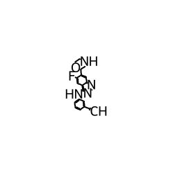 C#Cc1cccc(Nc2ncnc3cc(C4CNCCO4)c(F)cc23)c1